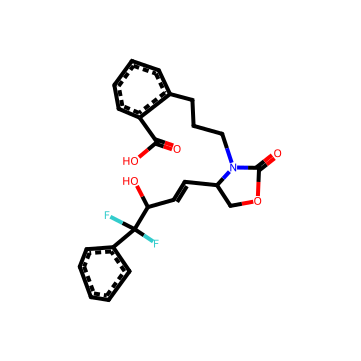 O=C(O)c1ccccc1CCCN1C(=O)OCC1C=CC(O)C(F)(F)c1ccccc1